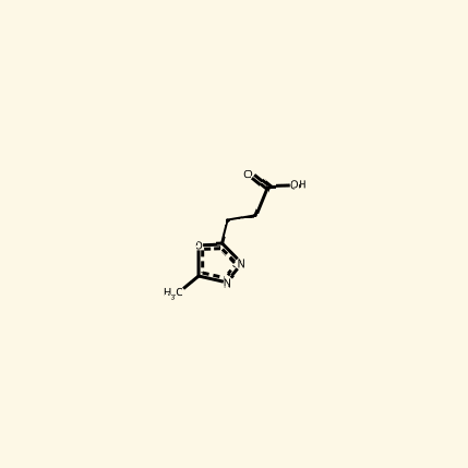 Cc1nnc(CCC(=O)O)o1